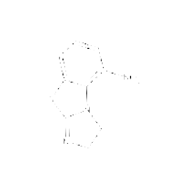 O=[N+]([O-])c1cccc2c1N1CCN=C1S2